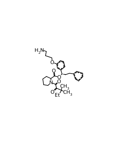 CCC(C)(C)C(=O)C(=O)N1CCCCC1C(=O)O[C@H](CCc1ccccc1)c1cccc(OCCCN)c1